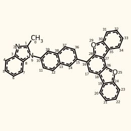 Cc1nc2ccccc2n1-c1ccc2cc(-c3cc4c5ccccc5oc4c4c3oc3ccccc34)ccc2c1